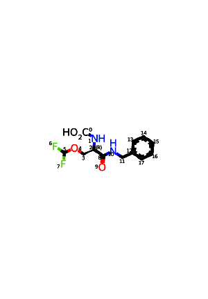 O=C(O)N[C@H](COC(F)F)C(=O)NCc1ccccc1